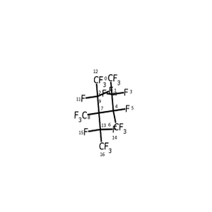 FC(F)(F)C(F)(F)C(F)(C(F)(F)F)C(C(F)(F)F)(C(F)(F)C(F)(F)F)C(F)(F)C(F)(F)F